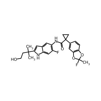 CC1(F)Oc2ccc(C3(C(=O)Nc4cc5cc(C(C)(C)CCO)[nH]c5cc4F)CC3)cc2O1